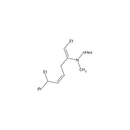 CCC=C(C/C=C\C(CC)C(C)C)N(C)CCCCCC